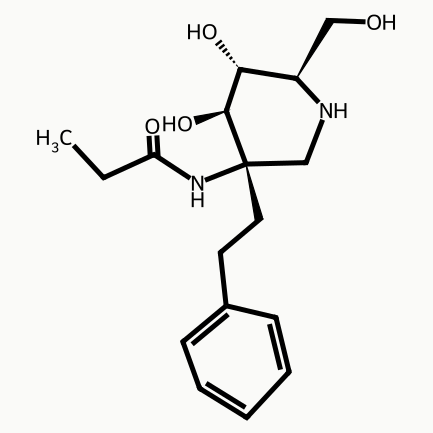 CCC(=O)N[C@@]1(CCc2ccccc2)CN[C@H](CO)[C@@H](O)[C@@H]1O